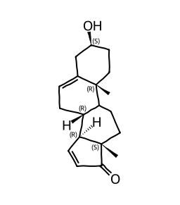 C[C@]12CC[C@H](O)CC1=CC[C@@H]1C2CC[C@]2(C)C(=O)C=C[C@@H]12